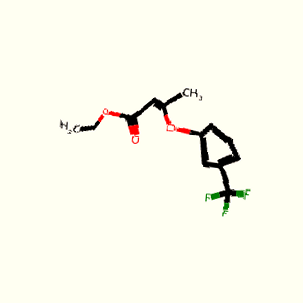 CCOC(=O)/C=C(/C)Oc1cccc(C(F)(F)F)c1